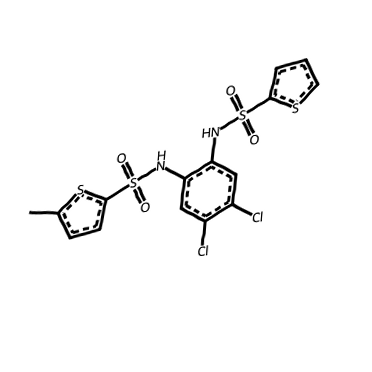 Cc1ccc(S(=O)(=O)Nc2cc(Cl)c(Cl)cc2NS(=O)(=O)c2cccs2)s1